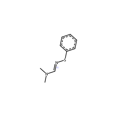 CN(C)/C=N/Sc1ccccc1